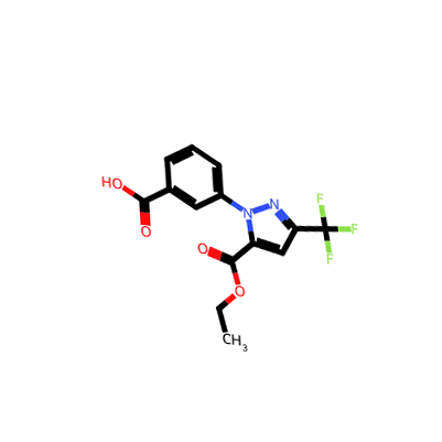 CCOC(=O)c1cc(C(F)(F)F)nn1-c1cccc(C(=O)O)c1